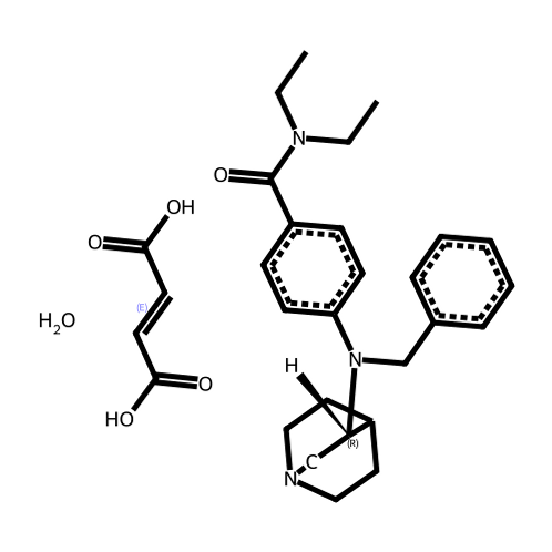 CCN(CC)C(=O)c1ccc(N(Cc2ccccc2)[C@H]2CN3CCC2CC3)cc1.O.O=C(O)/C=C/C(=O)O